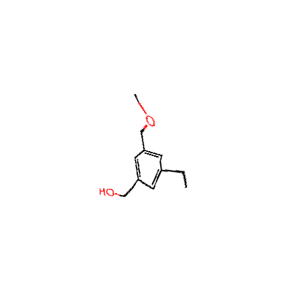 CCc1cc(CO)cc(COC)c1